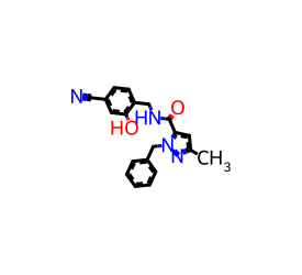 Cc1cc(C(=O)NCc2ccc(C#N)cc2O)n(Cc2ccccc2)n1